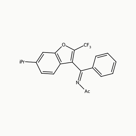 CC(=O)N=C(c1ccccc1)c1c(C(F)(F)F)oc2cc(C(C)C)ccc12